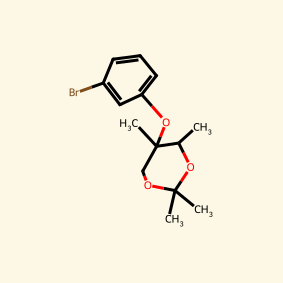 CC1OC(C)(C)OCC1(C)Oc1cccc(Br)c1